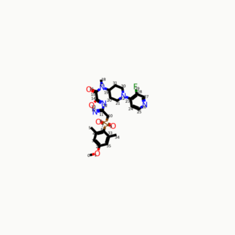 COc1cc(C)c(S(=O)(=O)Cc2noc(C(=O)N(C)C3CCN(c4ccncc4F)CC3)n2)c(C)c1